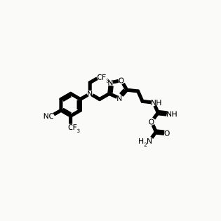 N#Cc1ccc(N(Cc2noc(CCNC(=N)OC(N)=O)n2)CC(F)(F)F)cc1C(F)(F)F